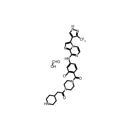 O=C(CC1CCNCC1)N1CCN(C(=O)c2ccc(Nc3nccn4c(-c5c[nH]nc5C(F)(F)F)cnc34)cc2Cl)CC1.O=CO